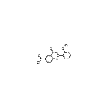 CC(C)Oc1ccccc1-c1cc(=O)c2cc(C(=O)Cl)ccc2o1